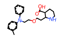 Cc1cccc(N(CCOCCC2NCCCC2C(=O)O)c2ccccc2)c1